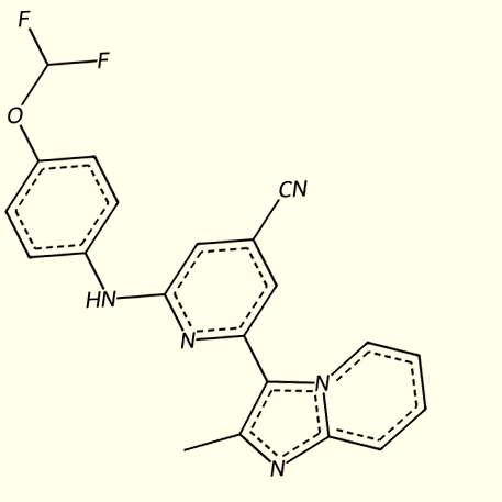 Cc1nc2ccccn2c1-c1cc(C#N)cc(Nc2ccc(OC(F)F)cc2)n1